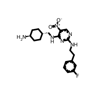 N[C@H]1CC[C@H](CNc2nc(NCCc3cccc(F)c3)ncc2[N+](=O)[O-])CC1